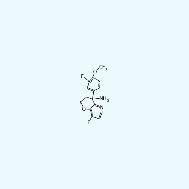 N[C@]1(c2ccc(OC(F)(F)F)c(F)c2)CCOc2c(F)ccnc21